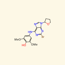 COc1cc(Nc2nc(Br)nc3c2ncn3C2CCCO2)cc(OC)c1O